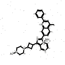 CC(=O)N1CCN(C2CC(C3=C4C=NC=C[N+]4(N)C(c4ccc5c(C)cc(-c6ccccc6)nc5c4)=N3)C2)CC1